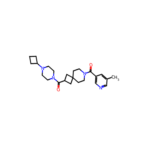 Cc1cncc(C(=O)N2CCC3(CC2)CC(C(=O)N2CCN(C4CCC4)CC2)C3)c1